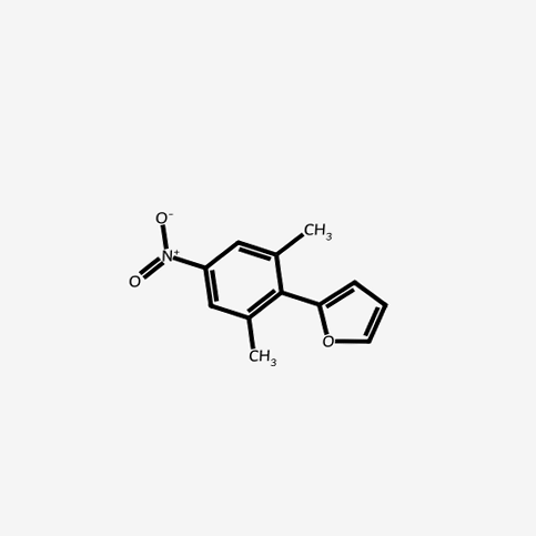 Cc1cc([N+](=O)[O-])cc(C)c1-c1ccco1